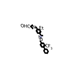 CCc1cc(/C(C)=N/OCc2ccc(C3CCCCC3)c(C(F)(F)F)c2)ccc1CN1CC(C=O)C1